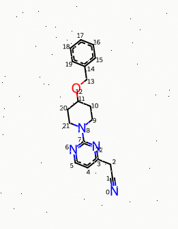 N#CCc1ccnc(N2CCC(OCc3ccccc3)CC2)n1